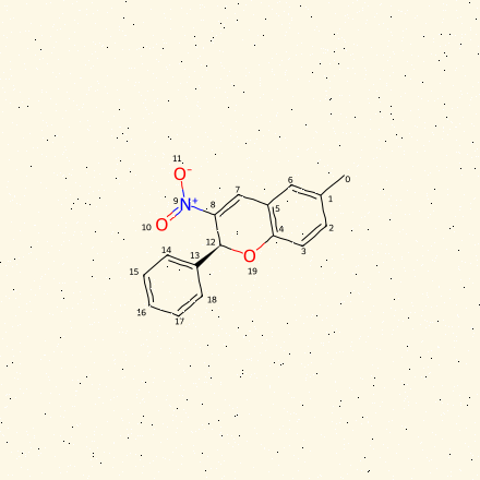 Cc1ccc2c(c1)C=C([N+](=O)[O-])[C@H](c1ccccc1)O2